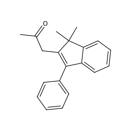 CC(=O)CC1=C(c2ccccc2)c2ccccc2C1(C)C